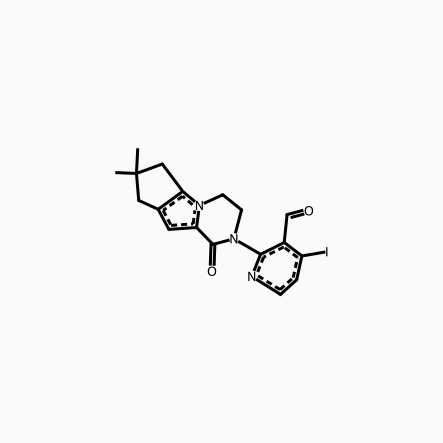 CC1(C)Cc2cc3n(c2C1)CCN(c1nccc(I)c1C=O)C3=O